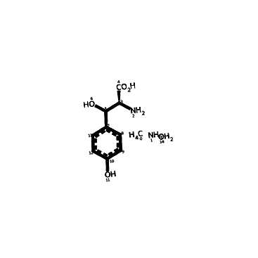 C.N.N[C@H](C(=O)O)C(O)c1ccc(O)cc1.O